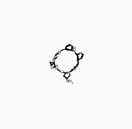 NC1CC2CCNC(=O)C3(CC3)N3CCN(CC3)Cc3cccc(c3)Nc3cc(ccn3)-c3cnc(nc3)N2C1